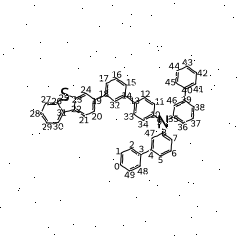 c1ccc(-c2cccc(N(c3ccc(-c4cccc(-c5ccc6c(c5)sc5ccccc56)c4)cc3)c3cccc(-c4ccccc4)c3)c2)cc1